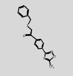 O=C(CSCc1ccccc1)c1ccc(-c2noc(C(F)(F)F)n2)cc1